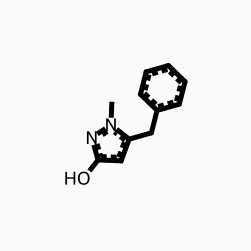 Cn1nc(O)cc1Cc1ccccc1